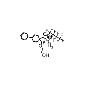 C[N+](F)(CC1(COCCO)C=CC(c2ccccc2)=CC1)S(=O)(=O)C(F)(F)C(F)(F)C(F)(F)C(F)(F)F